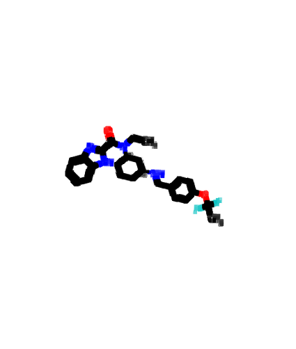 CCN(C(=O)c1nc2ccccc2[nH]1)[C@H]1CCC[C@@H](NCc2ccc(OC(C)(F)F)cc2)C1